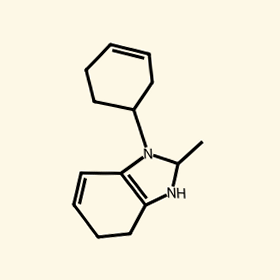 CC1NC2=C(C=CCC2)N1C1CC=CCC1